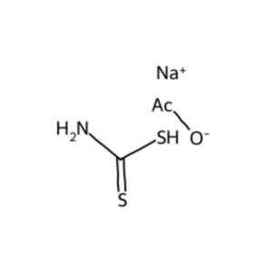 CC(=O)[O-].NC(=S)S.[Na+]